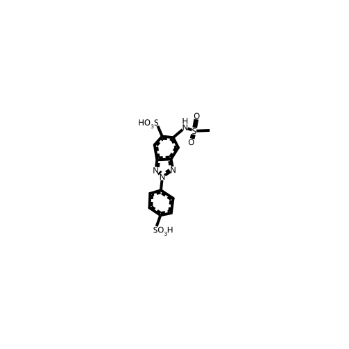 CS(=O)(=O)Nc1cc2nn(-c3ccc(S(=O)(=O)O)cc3)nc2cc1S(=O)(=O)O